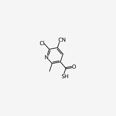 Cc1nc(Cl)c(C#N)cc1C(=O)S